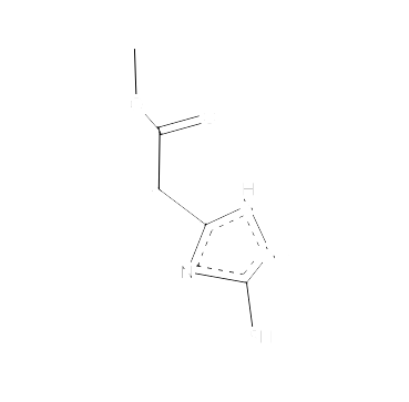 COC(=O)Cc1nc(S)n[nH]1